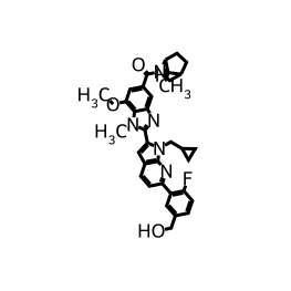 COc1cc(C(=O)N2CC3CCC2[C@@H]3C)cc2nc(-c3cc4ccc(-c5cc(CO)ccc5F)nc4n3CC3CC3)n(C)c12